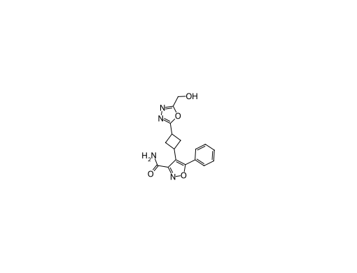 NC(=O)c1noc(-c2ccccc2)c1C1CC(c2nnc(CO)o2)C1